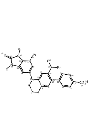 CC(C)c1cc(N2CCCc3cc(-c4ccc(C(=O)O)nc4)c(C(F)F)cc32)cc2c1n(C)c(=O)n2C